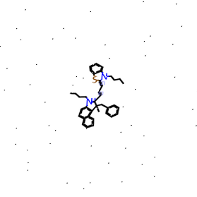 CCCCN1/C(=C/C=C/C2=[N+](CCCC)c3ccc4ccccc4c3C2(C)Cc2ccccc2)Sc2ccccc21